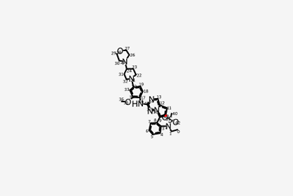 CCN(c1ccccc1-c1ccc2cnc(Nc3ccc(N4CCC(N5CCOCC5)CC4)cc3OC)nn12)S(C)(=O)=O